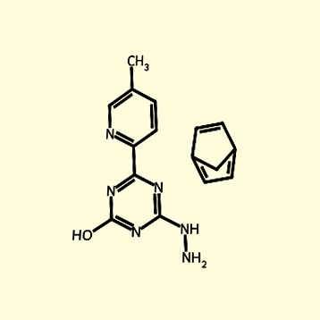 C1=CC2=CC=C1C2.Cc1ccc(-c2nc(O)nc(NN)n2)nc1